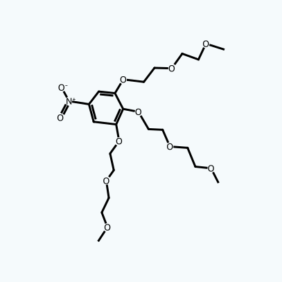 COCCOCCOc1cc([N+](=O)[O-])cc(OCCOCCOC)c1OCCOCCOC